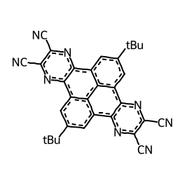 CC(C)(C)c1cc2c3nc(C#N)c(C#N)nc3c3cc(C(C)(C)C)cc4c5nc(C#N)c(C#N)nc5c(c1)c2c34